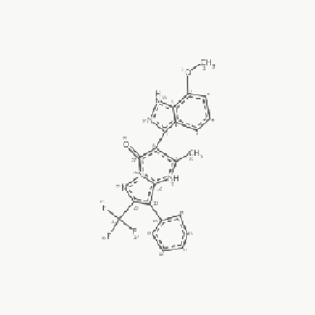 COc1cccc2c(-c3c(C)[nH]c4c(-c5ccccc5)c(C(F)(F)F)nn4c3=O)n[nH]c12